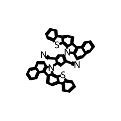 N#Cc1cc(-n2c3ccc4ccccc4c3c3ccc4c5ccccc5sc4c32)c(C#N)cc1-n1c2ccc3ccccc3c2c2ccc3c4ccccc4sc3c21